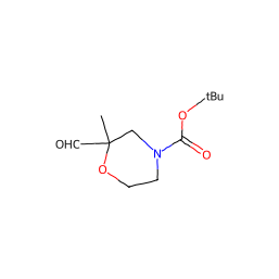 CC(C)(C)OC(=O)N1CCOC(C)(C=O)C1